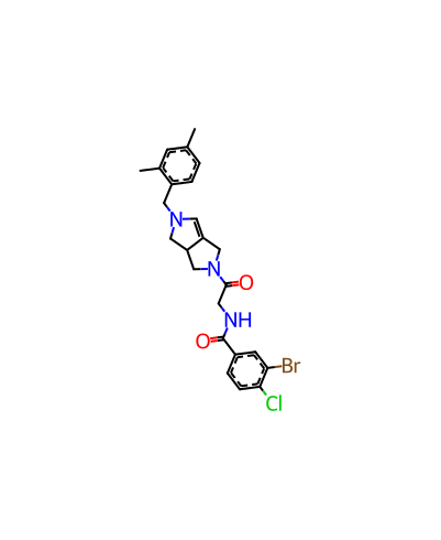 Cc1ccc(CN2C=C3CN(C(=O)CNC(=O)c4ccc(Cl)c(Br)c4)CC3C2)c(C)c1